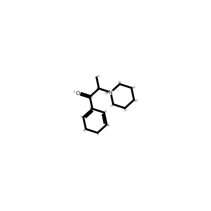 CC(C(=O)C1=CCCC=C1)N1CCCCC1